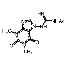 CC(=O)NC(=N)Nn1cnc2c1c(=O)n(C)c(=O)n2C